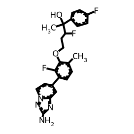 Cc1ccc(-c2ccn3nc(N)nc3c2)c(F)c1OCCC(F)C(C)(O)c1ccc(F)cc1